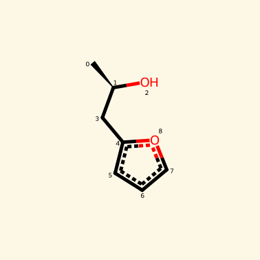 C[C@@H](O)Cc1ccco1